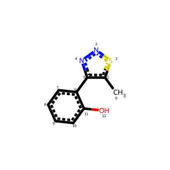 Cc1snnc1-c1ccccc1O